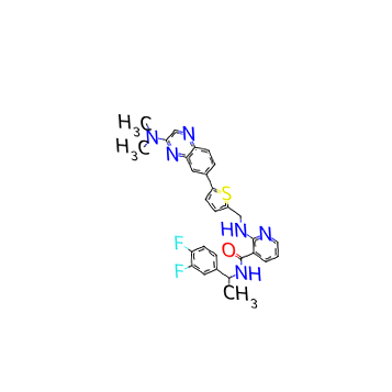 CC(NC(=O)c1cccnc1NCc1ccc(-c2ccc3ncc(N(C)C)nc3c2)s1)c1ccc(F)c(F)c1